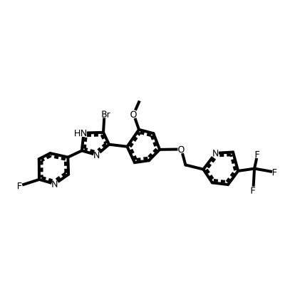 COc1cc(OCc2ccc(C(F)(F)F)cn2)ccc1-c1nc(-c2ccc(F)nc2)[nH]c1Br